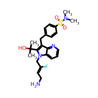 CN(C)S(=O)(=O)c1ccc(Cc2c(C(C)(C)O)n(CC(F)=CCN)c3cccnc23)cc1